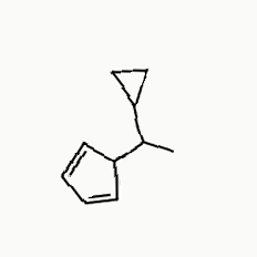 CC(C1C=CC=C1)C1CC1